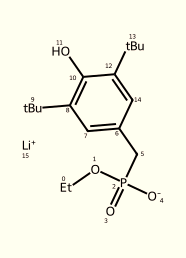 CCOP(=O)([O-])Cc1cc(C(C)(C)C)c(O)c(C(C)(C)C)c1.[Li+]